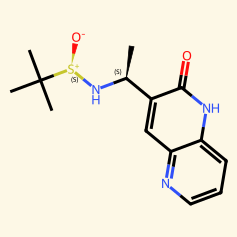 C[C@H](N[S@+]([O-])C(C)(C)C)c1cc2ncccc2[nH]c1=O